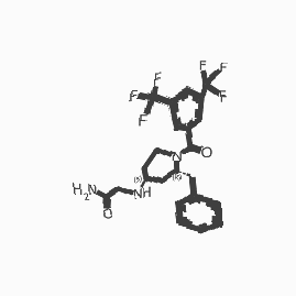 NC(=O)CN[C@H]1CCN(C(=O)c2cc(C(F)(F)F)cc(C(F)(F)F)c2)[C@H](Cc2ccccc2)C1